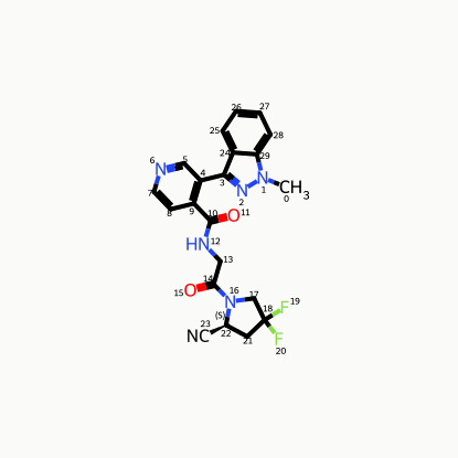 Cn1nc(-c2cnccc2C(=O)NCC(=O)N2CC(F)(F)C[C@H]2C#N)c2ccccc21